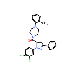 Cc1ccccc1N1CCN(C(=O)c2cc(-c3ccccc3)nn2-c2ccc(Cl)c(Cl)c2)CC1